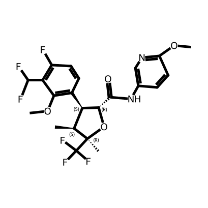 COc1ccc(NC(=O)[C@@H]2O[C@@](C)(C(F)(F)F)[C@@H](C)[C@H]2c2ccc(F)c(C(F)F)c2OC)cn1